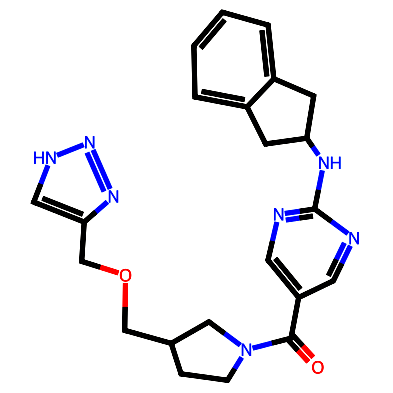 O=C(c1cnc(NC2Cc3ccccc3C2)nc1)N1CCC(COCc2c[nH]nn2)C1